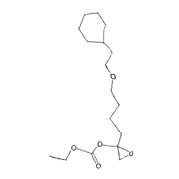 CCOC(=O)OC1(CCCCOCCC2CCCCC2)CO1